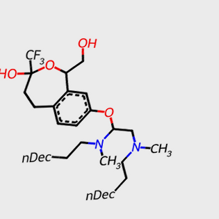 CCCCCCCCCCCCN(C)CC(Oc1ccc2c(c1)C(CO)OC(O)(C(F)(F)F)CC2)N(C)CCCCCCCCCCCC